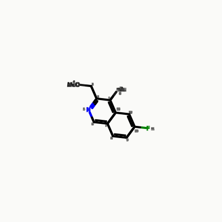 CCCCc1c(COC)ncc2ccc(F)cc12